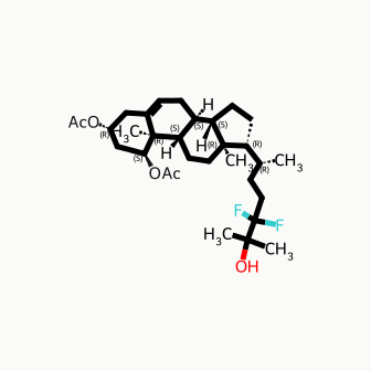 CC(=O)O[C@@H]1CC2=CC[C@H]3[C@@H]4CC[C@H]([C@H](C)CCC(F)(F)C(C)(C)O)[C@@]4(C)CC[C@@H]3[C@@]2(C)[C@@H](OC(C)=O)C1